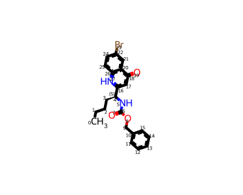 CCCC[C@H](NC(=O)OCc1ccccc1)c1cc(=O)c2cc(Br)ccc2[nH]1